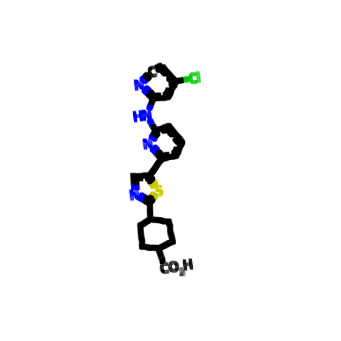 O=C(O)C1CCC(c2ncc(-c3cccc(Nc4cc(Cl)ccn4)n3)s2)CC1